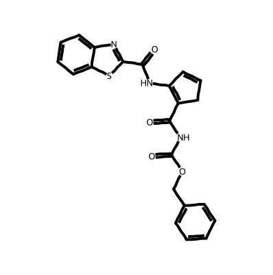 O=C(NC(=O)C1=C(NC(=O)c2nc3ccccc3s2)C=CC1)OCc1ccccc1